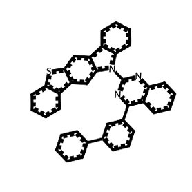 c1ccc(-c2cccc(-c3nc(-n4c5ccccc5c5cc6sc7ccccc7c6cc54)nc4ccccc34)c2)cc1